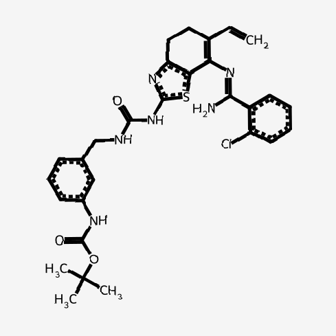 C=CC1=C(/N=C(\N)c2ccccc2Cl)c2sc(NC(=O)NCc3cccc(NC(=O)OC(C)(C)C)c3)nc2CC1